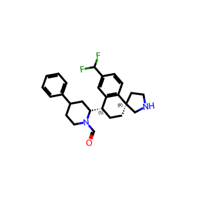 O=CN1CCC(c2ccccc2)CC1[C@H]1CC[C@@]2(CCNC2)c2ccc(C(F)F)cc21